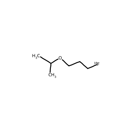 CC(C)OCCC[18F]